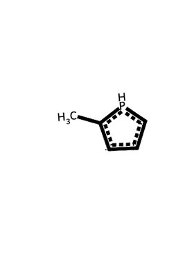 Cc1[c]cc[pH]1